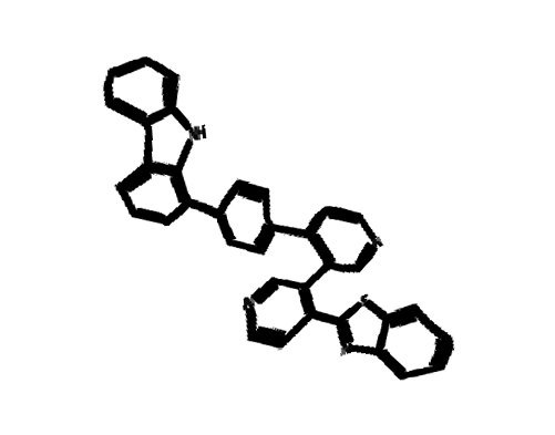 c1ccc2sc(-c3ccncc3-c3cnccc3-c3ccc(-c4cccc5c4[nH]c4ccccc45)cc3)nc2c1